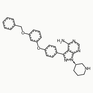 Nc1ncnc2c1c(-c1ccc(Oc3cccc(OCc4ccccc4)c3)cc1)nn2[C@@H]1CCCNC1